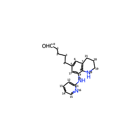 O=CCCCCc1cc2c(c(Nc3ccccn3)c1)NCCC2